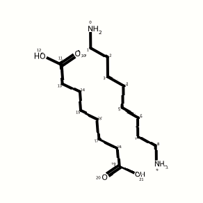 NCCCCCCCCN.O=C(O)CCCCCCC(=O)O